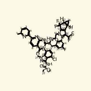 Cc1cccc(-c2ccc3c(=O)n(-c4ccc(Cl)c5c(NS(C)(=O)=O)nn(C)c45)c([C@H](Cc4cc(F)cc(F)c4)NC(=O)Cn4nc(C(F)F)c5c4C(F)(F)[C@@H]4C[C@H]54)nc3n2)n1